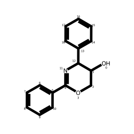 OC1COC(c2ccccc2)=NC1c1ccccc1